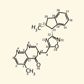 Cc1ccnc2ncn(Cc3nc([C@H]4c5ccccc5C[C@H]4C)no3)c(=O)c12